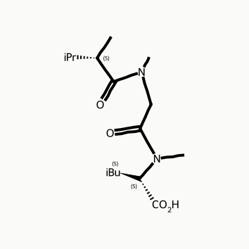 CC[C@H](C)[C@@H](C(=O)O)N(C)C(=O)CN(C)C(=O)[C@@H](C)C(C)C